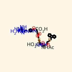 CC(=O)N[C@@H](CNC(=O)CCSCC1c2ccccc2-c2ccccc21)C(=O)N[C@@H](CSSCCOC(=O)CCC(NC(=O)c1ccc(NCc2cnc3nc(N)[nH]c(=N)c3n2)cc1)C(=O)O)C(=O)O